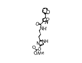 COC(=O)Oc1c[nH]c(CCCNC(=O)c2cc(-c3ccco3)on2)n1